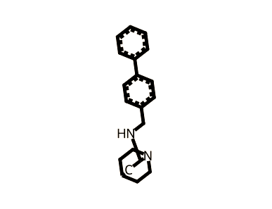 c1ccc(-c2ccc(CNC3CC4CCN3CC4)cc2)cc1